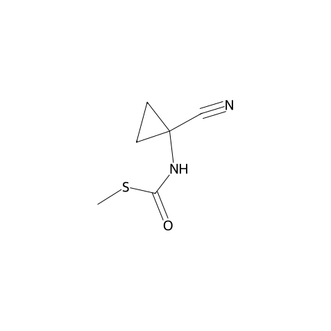 CSC(=O)NC1(C#N)CC1